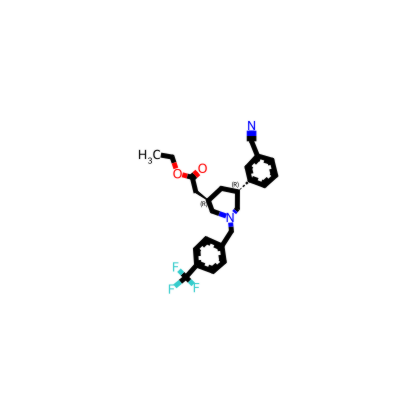 CCOC(=O)C[C@H]1C[C@H](c2cccc(C#N)c2)CN(Cc2ccc(C(F)(F)F)cc2)C1